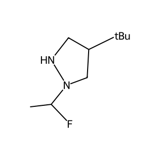 CC(F)N1CC(C(C)(C)C)CN1